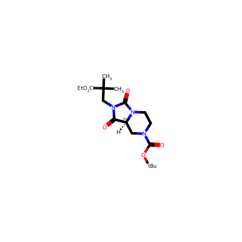 CCOC(=O)C(C)(C)CN1C(=O)[C@@H]2CN(C(=O)OC(C)(C)C)CCN2C1=O